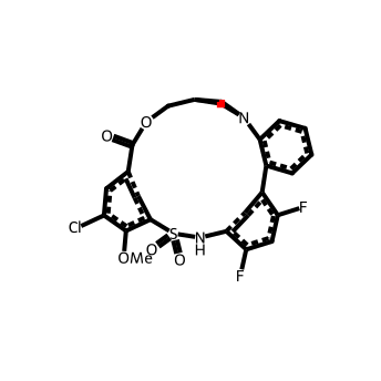 COc1c(Cl)cc2cc1S(=O)(=O)Nc1cc(c(F)cc1F)-c1ccccc1N1CC(COC2=O)C1